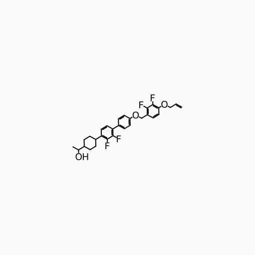 C=CCOc1ccc(COc2ccc(-c3ccc(C4CCC(C(C)O)CC4)c(F)c3F)cc2)c(F)c1F